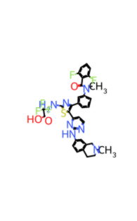 CN1CCc2ccc(Nc3nccc(-c4sc(N)nc4-c4cccc(N(C)C(=O)c5c(F)cccc5F)c4)n3)cc2C1.O=C(O)C(F)(F)F